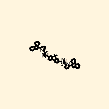 CC1(C)c2cc(-c3nnc(-c4cccc(-c5cc6ccccc6c6ccccc56)n4)s3)ccc2-c2ccc(-c3nnc(-c4cccc(-c5cc6ccccc6c6ccccc56)n4)s3)cc21